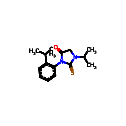 CC(C)c1ccccc1N1C(=O)CN(C(C)C)C1=S